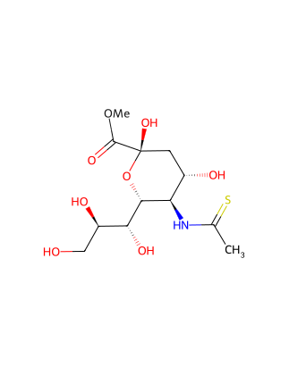 COC(=O)[C@]1(O)C[C@H](O)[C@@H](NC(C)=S)[C@H]([C@H](O)[C@H](O)CO)O1